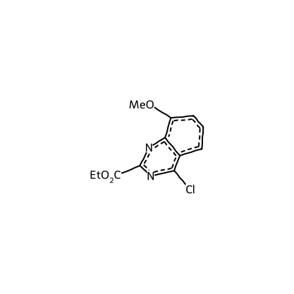 CCOC(=O)c1nc(Cl)c2cccc(OC)c2n1